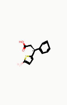 Bc1ccc([C@@H](CC(=O)O)c2ccccc2)s1